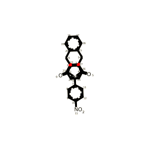 O=C1C2=C(C(=O)N1c1ccc([N+](=O)[O-])cc1)C1c3ccccc3C2c2ccccc21